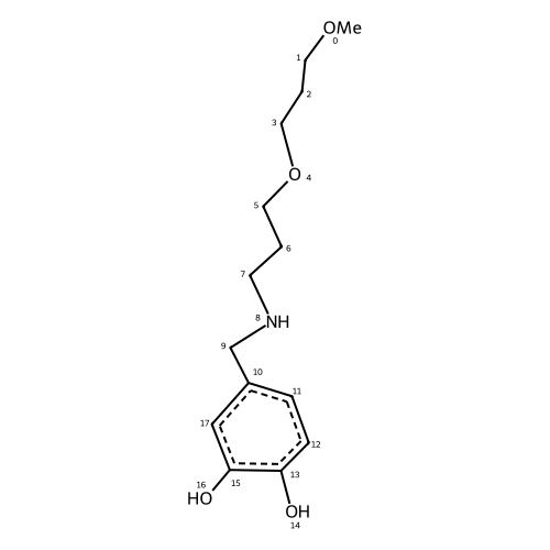 COCCCOCCCNCc1ccc(O)c(O)c1